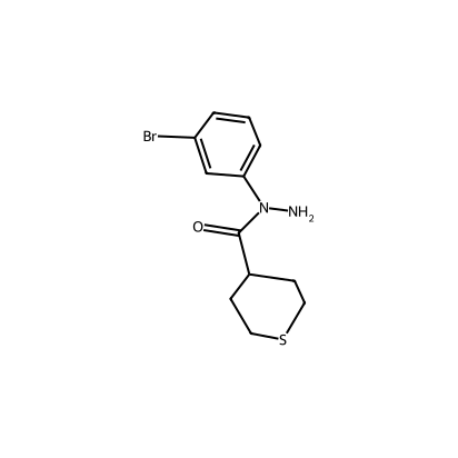 NN(C(=O)C1CCSCC1)c1cccc(Br)c1